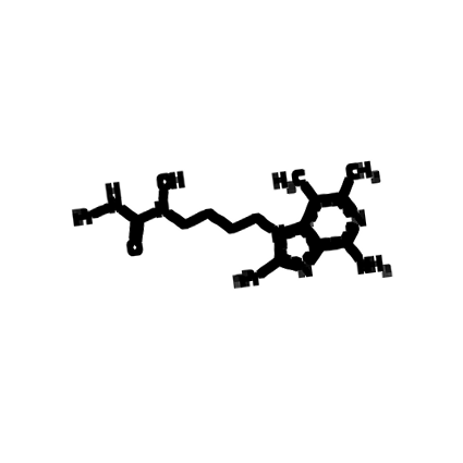 CCCc1nc2c(N)nc(C)c(C)c2n1CCCCN(O)C(=O)NC(C)C